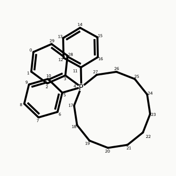 c1ccc(P2(c3ccccc3)(c3ccccc3)CCCCCCCCCCC2)cc1